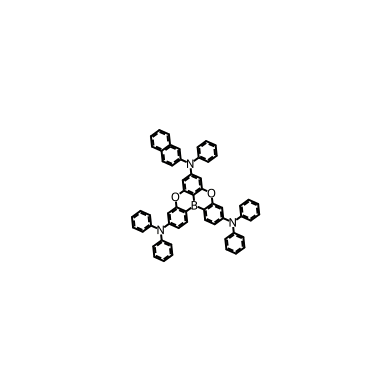 c1ccc(N(c2ccccc2)c2ccc3c(c2)Oc2cc(N(c4ccccc4)c4ccc5ccccc5c4)cc4c2B3c2ccc(N(c3ccccc3)c3ccccc3)cc2O4)cc1